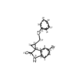 O=C1Nc2ccc(Br)cc2C12CC2COc1ccccc1